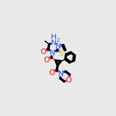 C[C@@H](N)C(=O)N(C(=O)[C@H]1C(C(=O)N2CCOCC2)[C@@H]1c1ccccc1)c1nccs1